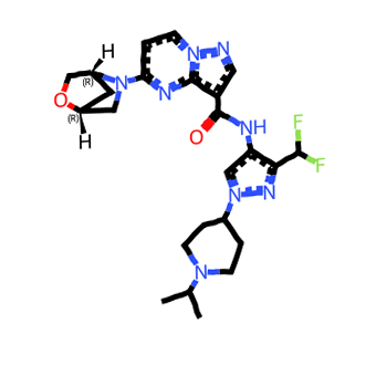 CC(C)N1CCC(n2cc(NC(=O)c3cnn4ccc(N5C[C@H]6C[C@@H]5CO6)nc34)c(C(F)F)n2)CC1